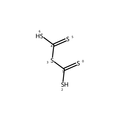 S=C(S)SC(=S)S